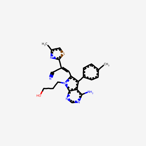 Cc1ccc(-c2c(/C=C(\C#N)c3nc(C)cs3)n(CCCO)c3ncnc(N)c23)cc1